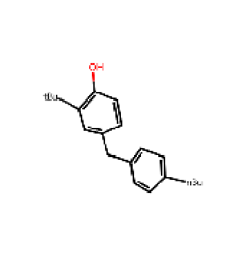 CCCCc1ccc(Cc2ccc(O)c(C(C)(C)C)c2)cc1